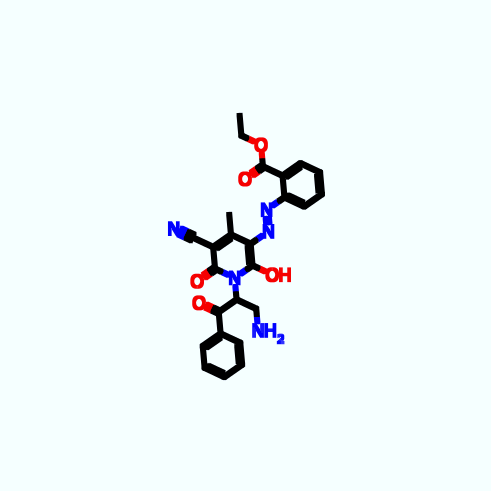 CCOC(=O)c1ccccc1N=Nc1c(C)c(C#N)c(=O)n(C(CN)C(=O)c2ccccc2)c1O